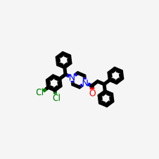 O=C(CC(c1ccccc1)c1ccccc1)N1CCN(C(c2ccccc2)c2ccc(Cl)c(Cl)c2)CC1